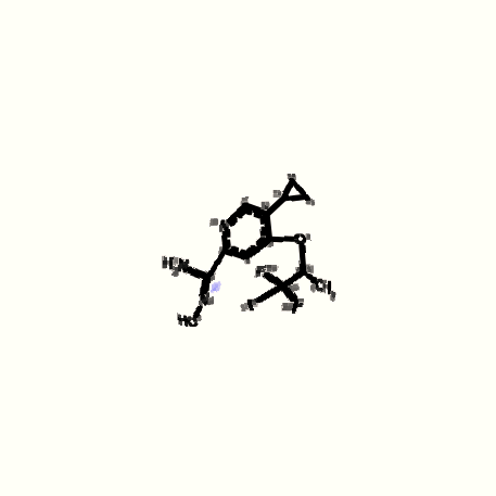 C[C@H](Oc1cc(/C(N)=N/O)ncc1C1CC1)C(F)(F)F